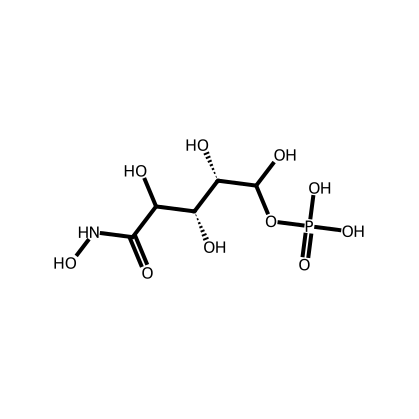 O=C(NO)C(O)[C@@H](O)[C@H](O)C(O)OP(=O)(O)O